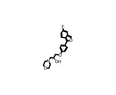 O[C@H](COc1ccc(-c2occ3cc(F)ccc23)cc1)CN1CCOCC1